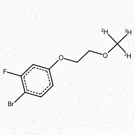 [2H]C([2H])([2H])OCCOc1ccc(Br)c(F)c1